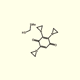 CSCS.O=C1C=C(N2CC2)C(=O)C(N2CC2)=C1N1CC1